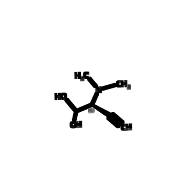 C#C[C@@H](C(O)O)N(C)C